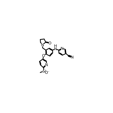 C[S+]([O-])c1ccc(Oc2ccc(Nc3ccc(C#N)cn3)cc2CN2CCCC2=O)cn1